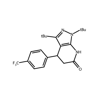 CC(C)(C)c1nn(C(C)(C)C)c2c1C(c1ccc(C(F)(F)F)cc1)CC(=O)N2